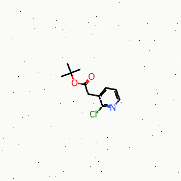 CC(C)(C)OC(=O)Cc1cccnc1Cl